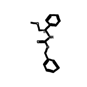 COC[C@H](NC(=O)OCc1ccccc1)c1ccccc1